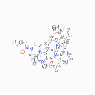 C=CC(=O)N1CCN2c3c(c(=O)n(-c4c(C5CC5)ncnc4C4CC4)c4nc(-c5c(F)cccc5OC)c(F)cc34)N(C)C(=O)[C@H]2C1